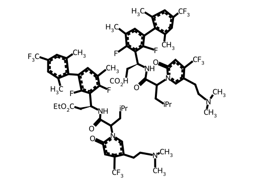 CCOC(=O)C[C@H](NC(=O)C(CC(C)C)n1cc(CCN(C)C)c(C(F)(F)F)cc1=O)c1c(F)c(C)cc(-c2c(C)cc(C(F)(F)F)cc2C)c1F.Cc1cc(-c2c(C)cc(C(F)(F)F)cc2C)c(F)c([C@H](CC(=O)O)NC(=O)C(CC(C)C)n2cc(CCN(C)C)c(C(F)(F)F)cc2=O)c1F